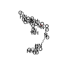 O=C1CCC(N2C(=O)c3cccc(NCCCCCCC(=O)N4CC(COc5cccc(-c6ccc(Cl)cc6)c5CN5CCN(c6ccc(C(=O)NS(=O)(=O)c7ccc(NCC8CCOCC8)c([N+](=O)O)c7)c(Oc7cnc8[nH]ccc8c7)c6)CC5)C4)c3C2=O)C(=O)N1